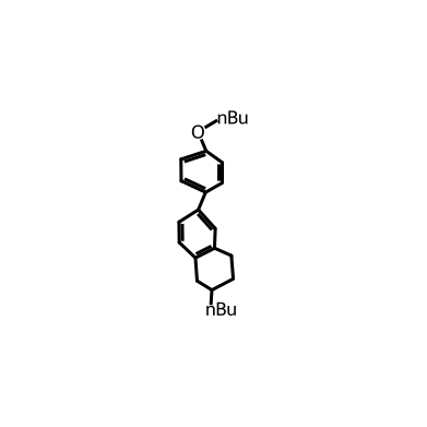 CCCCOc1ccc(-c2ccc3c(c2)CCC(CCCC)C3)cc1